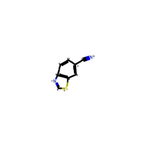 N#Cc1[c]c2scnc2cc1